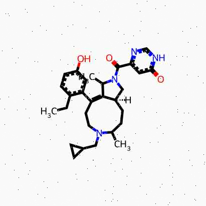 CCc1ccc(O)cc1/C1=C2\C(C)N(C(=O)c3cc(=O)[nH]cn3)C[C@H]2CCC(C)N(CC2CC2)CC1